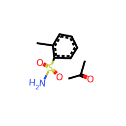 CC(C)=O.Cc1ccccc1S(N)(=O)=O